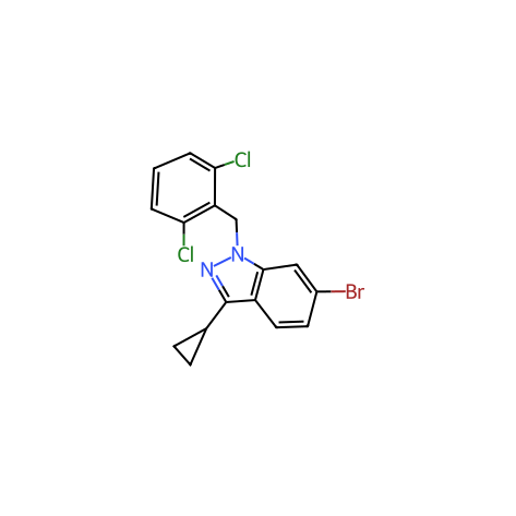 Clc1cccc(Cl)c1Cn1nc(C2CC2)c2ccc(Br)cc21